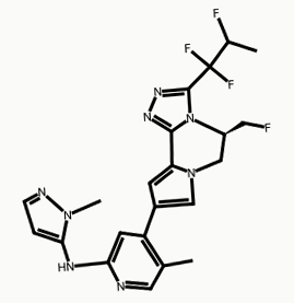 Cc1cnc(Nc2ccnn2C)cc1-c1cc2n(c1)C[C@H](CF)n1c-2nnc1C(F)(F)C(C)F